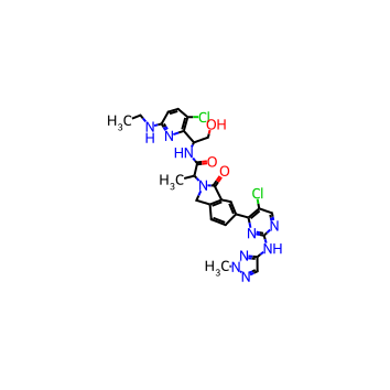 CCNc1ccc(Cl)c(C(CO)NC(=O)C(C)N2Cc3ccc(-c4nc(Nc5cnn(C)n5)ncc4Cl)cc3C2=O)n1